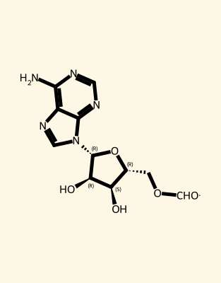 Nc1ncnc2c1ncn2[C@@H]1O[C@H](CO[14C]=O)[C@@H](O)[C@H]1O